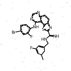 CC1C=C(F)C=C(CNC(=N)c2nc3ccc4ncnc(Nc5ccc(Br)cc5F)c4c3s2)C1